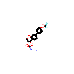 NC(=O)OC1CCOc2cc(-c3ccc(OC(F)F)cc3)ccc21